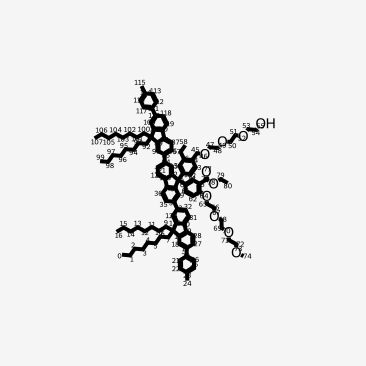 CCCCCCCCC1(CCCCCCCC)c2cc(-c3ccc(C)cc3)ccc2-c2ccc(-c3ccc4c(c3)C(c3ccc(COCCOCCOCCO)c(CC)c3)(c3ccc(OCCOCCOCCOC)c(C(=O)OCC)c3)c3cc(-c5ccc6c(c5)C(CCCCCCCC)(CCCCCCCC)c5cc(-c7ccc(C)cc7)ccc5-6)ccc3-4)cc21